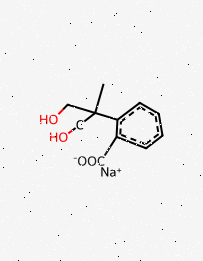 CC(CO)(CO)c1ccccc1C(=O)[O-].[Na+]